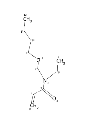 C=CC(=O)N(CC)COCCCC